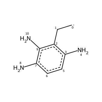 [CH2]Cc1c(N)ccc(N)c1N